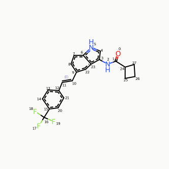 O=C(Nc1c[nH]c2ccc(/C=C/c3ccc(C(F)(F)F)cc3)cc12)C1CCC1